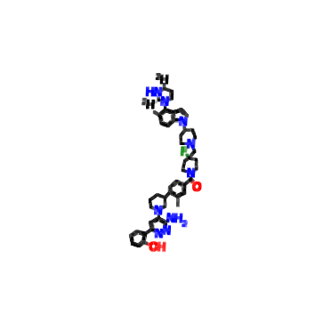 [2H]C1C=CN(c2c(C)ccc3c2ccn3C2CCN(CC3(F)CCN(C(=O)c4ccc(C5CCCN(c6cc(-c7ccccc7O)nnc6N)C5)c(C)c4)CC3)CC2)[C@H]([2H])N1